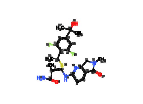 C/C(C(N)=O)=C(/Nc1ccc2c(n1)CN(C)C2=O)SC(C)c1c(F)cc(C(C)(C)O)cc1F